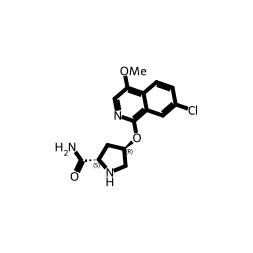 COc1cnc(O[C@H]2CN[C@H](C(N)=O)C2)c2cc(Cl)ccc12